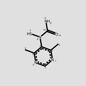 Cc1ncnc(C)c1N(S)C(N)=O